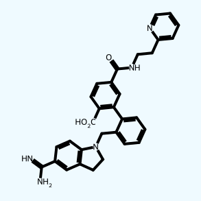 N=C(N)c1ccc2c(c1)CCN2Cc1ccccc1-c1cc(C(=O)NCCc2ccccn2)ccc1C(=O)O